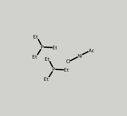 CCP(CC)CC.CCP(CC)CC.C[C](=O)[Ni][Cl]